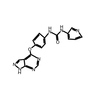 O=C(Nc1ccc(Oc2ncnc3[nH]ncc23)cc1)Nc1cccnc1